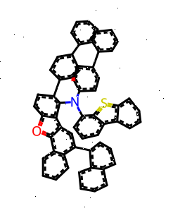 c1ccc(-c2ccc(-c3ccc4oc5c6ccccc6c(-c6cccc7ccccc67)cc5c4c3N(c3ccc(-c4ccccc4)cc3)c3cccc4c3sc3ccccc34)cc2)cc1